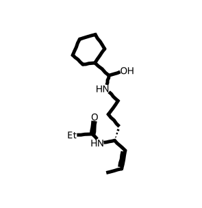 C/C=C\[C@@H](CCCNC(O)C1CCCCC1)NC(=O)CC